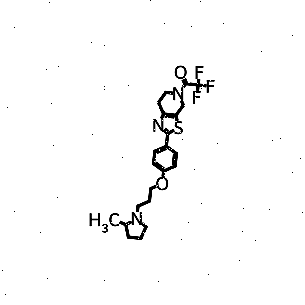 CC1CCCN1CCCOc1ccc(-c2nc3c(s2)CN(C(=O)C(F)(F)F)CC3)cc1